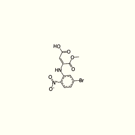 COC(=O)C(=CC(=O)O)Nc1cc(Br)ccc1[N+](=O)[O-]